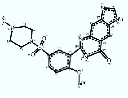 CCCOc1ccc(S(=O)(=O)N2CCN(C)CC2)cc1-c1nc2cc3nc[nH]c3cc2c(=O)[nH]1